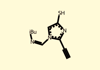 C#Cc1nc(S)cn1/C=N\C(C)CC